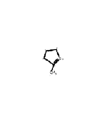 CC1=[Si]CCC1